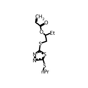 C=CC(=O)OC(CC)CSc1nnc(SCCC)s1